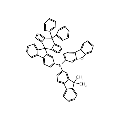 CC1(C)c2ccccc2-c2ccc(N(c3ccc4c(c3)C3(c5ccccc5-4)c4ccccc4C(c4ccccc4)(c4ccccc4)c4ccccc43)c3ccc4c(c3)oc3ccccc34)cc21